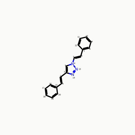 C(=C\c1cn(/C=C/c2ccccc2)nn1)/c1ccccc1